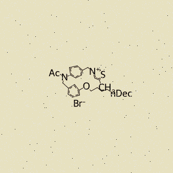 CCCCCCCCCCCCCCOc1cccc(CN(C(C)=O)c2ccc(C[n+]3csc(C)c3)cc2)c1.[Br-]